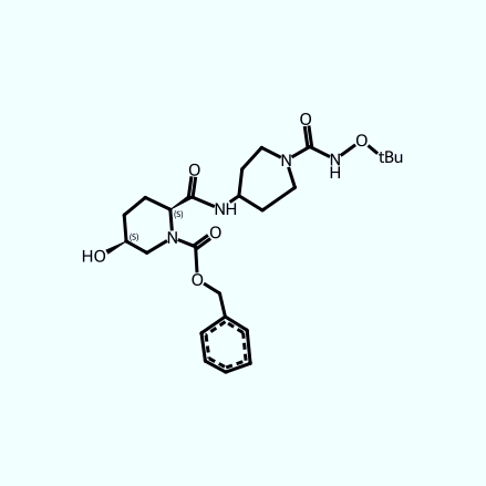 CC(C)(C)ONC(=O)N1CCC(NC(=O)[C@@H]2CC[C@H](O)CN2C(=O)OCc2ccccc2)CC1